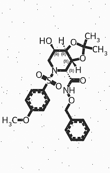 COc1ccc(S(=O)(=O)N2C[C@@H](O)[C@H]3OC(C)(C)O[C@@H]3[C@@H]2C(=O)NOCc2ccccc2)cc1